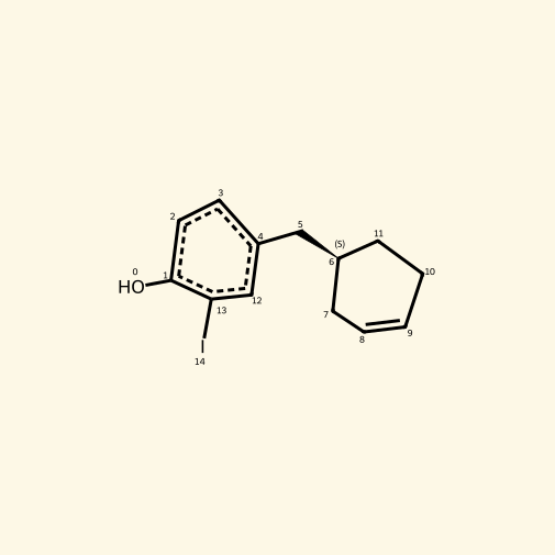 Oc1ccc(C[C@@H]2CC=CCC2)cc1I